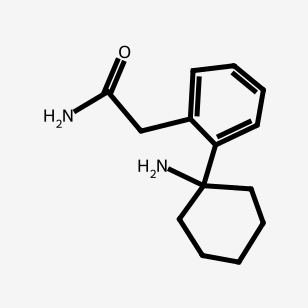 NC(=O)Cc1ccccc1C1(N)CCCCC1